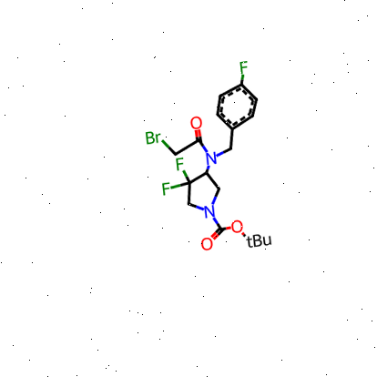 CC(C)(C)OC(=O)N1CC(N(Cc2ccc(F)cc2)C(=O)CBr)C(F)(F)C1